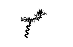 CC/C=C\C/C=C\C/C=C\C/C=C\C/C=C\C/C=C\CCC(=O)NC(CCCCNC(=O)CC/C(C)=C/Cc1c(O)c2c(c(C)c1OC)COC2=O)C(=O)OC(CO)CO